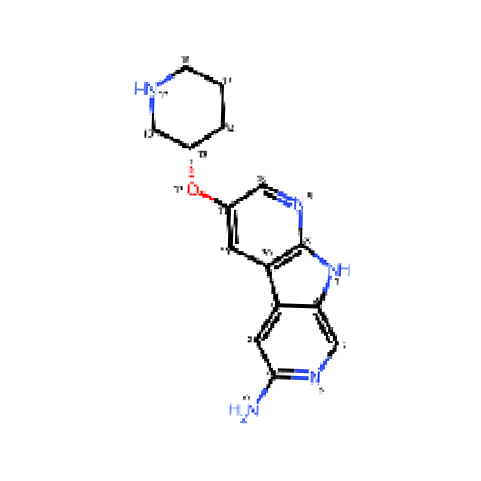 Nc1cc2c(cn1)[nH]c1ncc(O[C@H]3CCCNC3)cc12